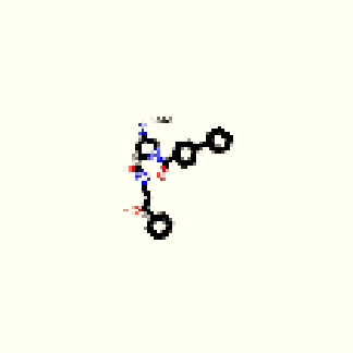 CON=C1C[C@@H](C(=O)NCC[C@H](O)c2ccccc2)N(C(=O)c2ccc(-c3ccccc3)cc2)C1